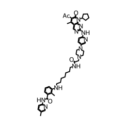 CC(=O)c1c(C)c2cnc(Nc3ccc(N4CCN(CC(=O)NCCCCCCCNc5cccc(C(=O)Nc6ccc(C)cn6)c5C)CC4)cn3)nc2n(C2CCCC2)c1=O